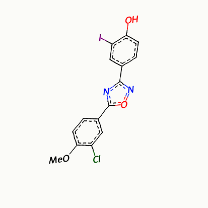 COc1ccc(-c2nc(-c3ccc(O)c(I)c3)no2)cc1Cl